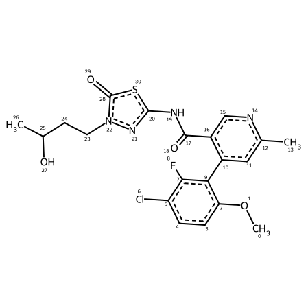 COc1ccc(Cl)c(F)c1-c1cc(C)ncc1C(=O)Nc1nn(CCC(C)O)c(=O)s1